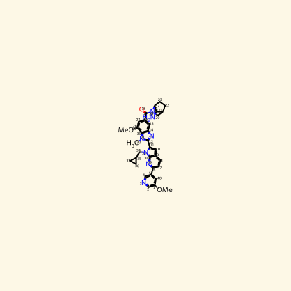 COc1cncc(-c2ccc3cc(-c4nc5cc(C(=O)N6CC7CCC6C7N)cc(OC)c5n4C)n(CC4CC4)c3n2)c1